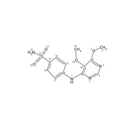 COc1ncnc(Nc2ccc(S(N)(=O)=O)cc2)c1OC